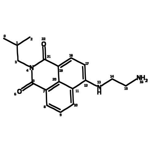 CC(C)CN1C(=O)c2cccc3c(NCCN)ccc(c23)C1=O